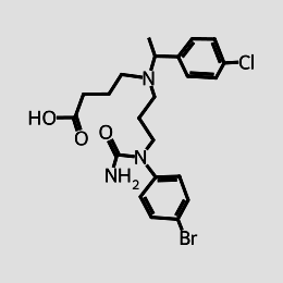 CC(c1ccc(Cl)cc1)N(CCCC(=O)O)CCCN(C(N)=O)c1ccc(Br)cc1